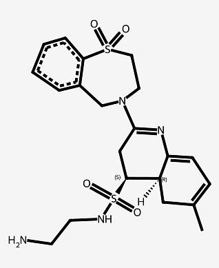 CC1=CC=C2N=C(N3CCS(=O)(=O)c4ccccc4C3)C[C@H](S(=O)(=O)NCCN)[C@@H]2C1